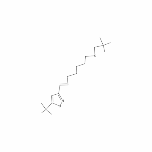 CC(C)(C)CSCCCCC/C=C/c1cc(C(C)(C)C)on1